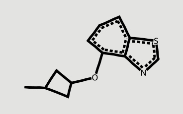 CC1CC(Oc2cccc3scnc23)C1